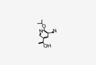 C=C(O)c1cnc(OC(C)C)c(C#N)c1